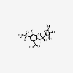 [2H]c1oc(C([2H])([2H])Nc2cc(Cl)c(S(N)(=O)=O)cc2C(=O)O)c([2H])c1[2H]